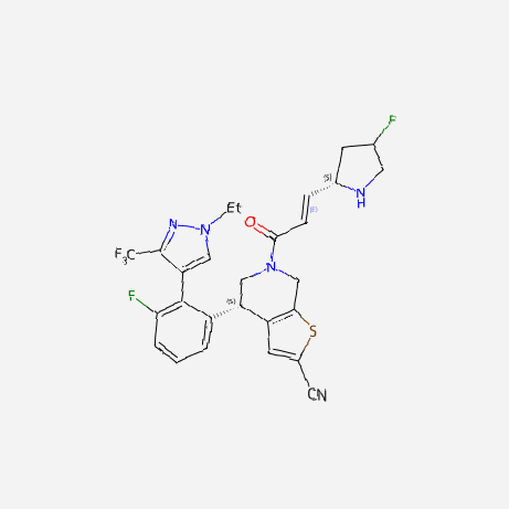 CCn1cc(-c2c(F)cccc2[C@@H]2CN(C(=O)/C=C/[C@@H]3CC(F)CN3)Cc3sc(C#N)cc32)c(C(F)(F)F)n1